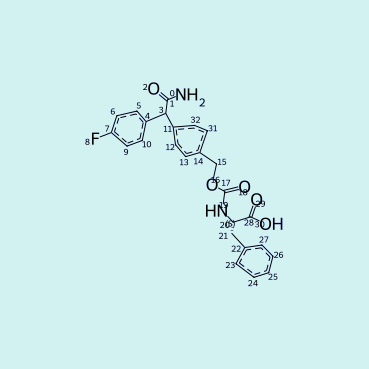 NC(=O)C(c1ccc(F)cc1)c1ccc(COC(=O)N[C@@H](Cc2ccccc2)C(=O)O)cc1